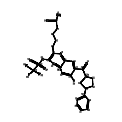 O=C(O)CCCCc1nc2cc(C(=O)N3CCC(c4ccccc4)C3)c(F)cc2nc1OS(=O)(=O)C(F)(F)F